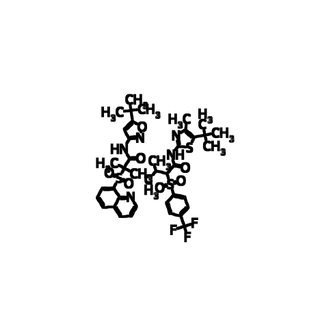 CC(C)(C)c1cc(NC(=O)C(C)(C)S(=O)(=O)c2cccc3cccnc23)no1.Cc1nc(NC(=O)C(C(C)C)S(=O)(=O)c2ccc(C(F)(F)F)cc2)sc1C(C)(C)C